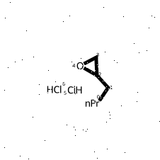 CCCCC1CO1.Cl.Cl